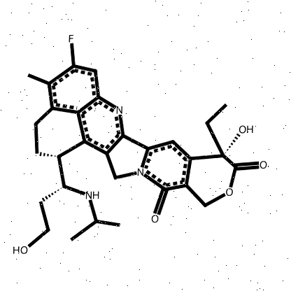 CC[C@@]1(O)C(=O)OCc2c1cc1n(c2=O)Cc2c-1nc1cc(F)c(C)c3c1c2[C@H]([C@@H](CCO)NC(C)C)CC3